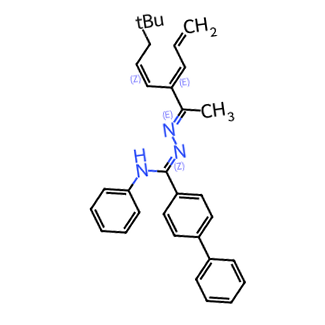 C=C/C=C(\C=C/CC(C)(C)C)C(/C)=N/N=C(\Nc1ccccc1)c1ccc(-c2ccccc2)cc1